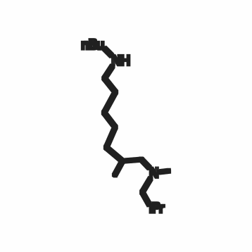 CCCCNCCCCCC(C)CN(C)CC(C)C